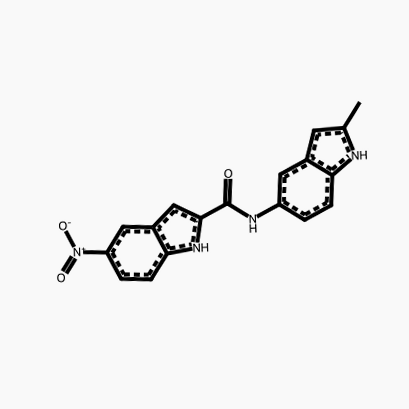 Cc1cc2cc(NC(=O)c3cc4cc([N+](=O)[O-])ccc4[nH]3)ccc2[nH]1